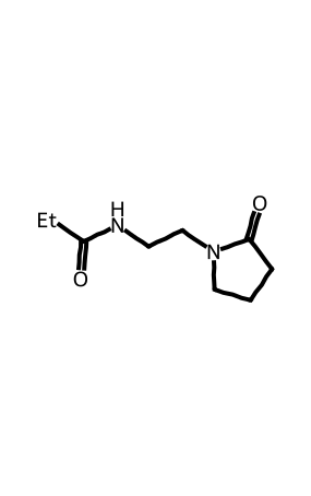 CCC(=O)NCCN1CCCC1=O